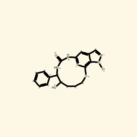 CCn1ncc2cc3nc(c21)OCCCC(O)C(c1ccccc1)NC(=O)N3